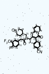 C[C@H](c1nc2ccccn2c(=O)c1-c1ccc(C#N)cc1)N(C[C@H]1CC[S@+]([O-])CC1)C(=O)Cc1ccc(F)c(C(F)(F)F)c1